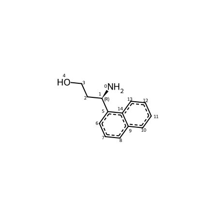 N[C@H](CCO)c1cccc2ccccc12